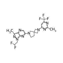 Cc1nc(N2CC3(CCN(c4cnc5c(C)nn(CC(F)F)c5n4)C3)C2)cc(C(F)(F)F)n1